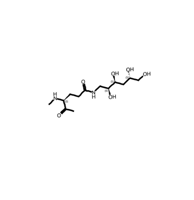 CN[C@@H](CCC(=O)NC[C@H](O)[C@@H](O)C[C@H](O)CO)C(C)=O